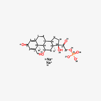 CC1=CC(=O)C=C2CCC3C(C(O)C[C@@]4(C)C3CC[C@]4(O)C(=O)COP(=O)([O-])[O-])[C@@]12C.[Na+].[Na+]